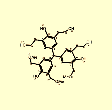 COCc1cc(C(c2cc(CCO)c(O)c(CCO)c2)c2cc(COC)c(O)c(COC)c2)cc(CCO)c1O